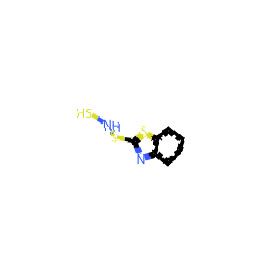 SNSc1nc2ccccc2s1